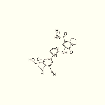 CNC(=O)c1cc(Nc2nccc(-c3cc(C#N)c4c(c3)C(C)(CO)CN4)n2)c(=O)n2c1CCC2